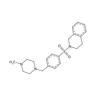 CN1CCN(Cc2ccc(S(=O)(=O)N3CCc4ccccc4C3)cc2)CC1